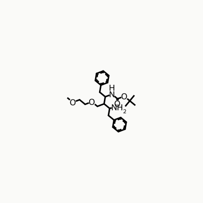 COCCOCC(C(N)Cc1ccccc1)C(Cc1ccccc1)NC(=O)OC(C)(C)C